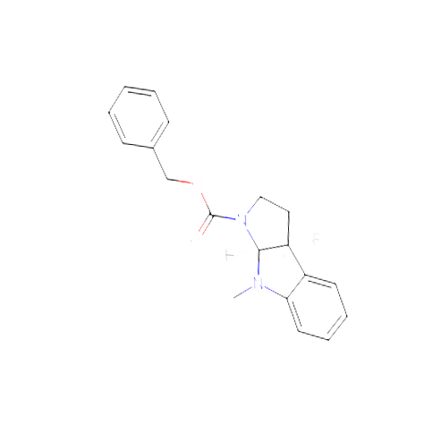 CN1c2ccccc2[C@]2(F)CCN(C(=O)OCc3ccccc3)[C@H]12